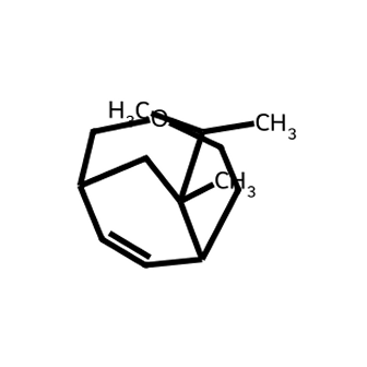 CC(C)C1(C)CC2C=CC1CCOC2